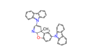 CC12C=C(n3c4ccccc4c4ccccc43)C=NC1Oc1ccc(-n3c4ccccc4c4ccccc43)cc12